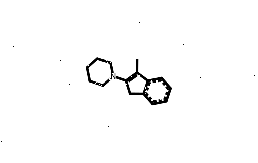 CC1=C(N2CCCCC2)Cc2ccccc21